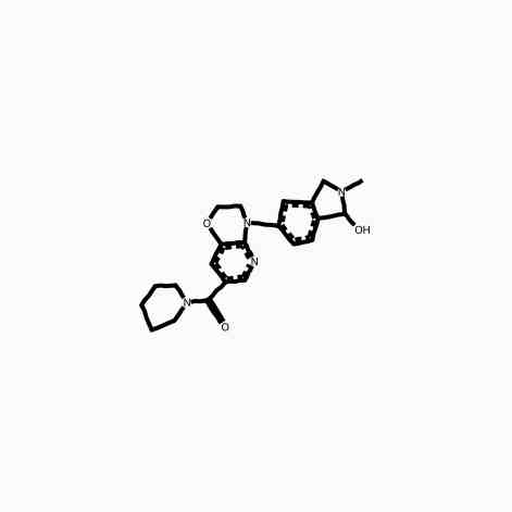 CN1Cc2cc(N3CCOc4cc(C(=O)N5CCCCC5)cnc43)ccc2C1O